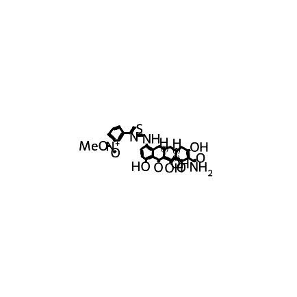 CO[N+](=O)c1cccc(-c2csc(Nc3ccc(O)c4c3C[C@H]3C[C@H]5CC(O)=C(C(N)=O)C(=O)[C@@]5(O)C(O)=C3C4=O)n2)c1